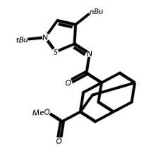 CCCCc1cn(C(C)(C)C)s/c1=N\C(=O)C12CC3CC(C1)CC(C(=O)OC)(C3)C2